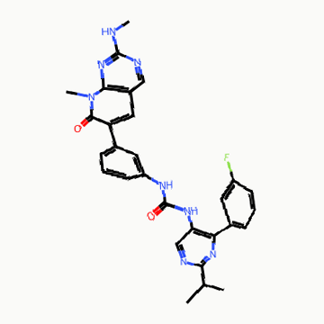 CNc1ncc2cc(-c3cccc(NC(=O)Nc4cnc(C(C)C)nc4-c4cccc(F)c4)c3)c(=O)n(C)c2n1